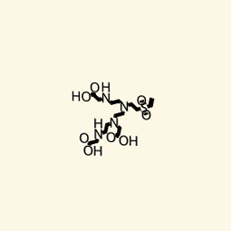 C=CS(=O)(=O)CCN(CCNCC(=O)O)CCN(CCNCC(=O)O)CC(=O)O